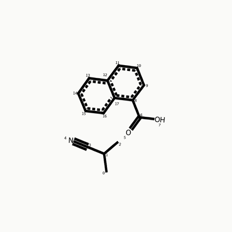 CC(C)C#N.O=C(O)c1cccc2ccccc12